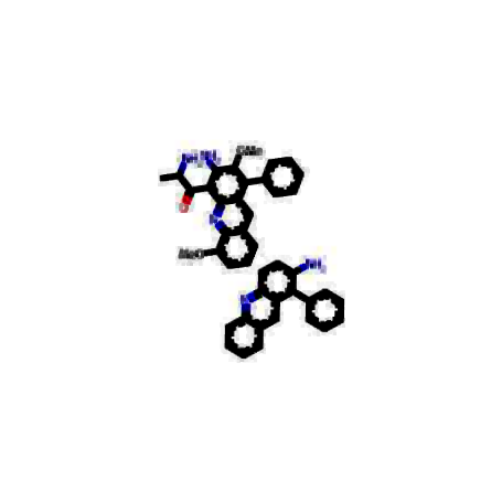 COc1c(N)c(C(=O)C(C)N)c2nc3c(OC)cccc3cc2c1-c1ccccc1.Nc1ccc2nc3ccccc3cc2c1-c1ccccc1